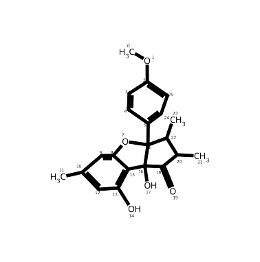 COc1ccc(C23Oc4cc(C)cc(O)c4C2(O)C(=O)C(C)C3C)cc1